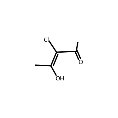 CC(=O)/C(Cl)=C(/C)O